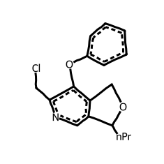 CCCC1OCc2c1cnc(CCl)c2Oc1ccccc1